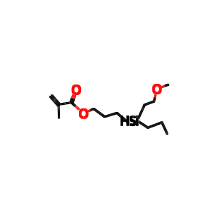 C=C(C)C(=O)OCCCC[SiH](CCC)CCOC